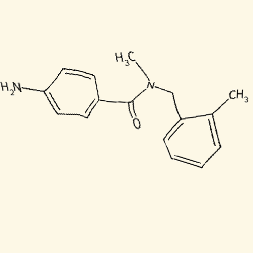 Cc1ccccc1CN(C)C(=O)c1ccc(N)cc1